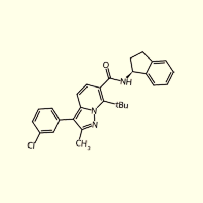 Cc1nn2c(C(C)(C)C)c(C(=O)N[C@H]3CCc4ccccc43)ccc2c1-c1cccc(Cl)c1